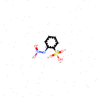 O=[N+]([O-])[N]c1ccccc1S(=O)(=O)O